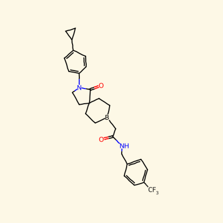 O=C(CB1CCC2(CC1)CCN(c1ccc(C3CC3)cc1)C2=O)NCc1ccc(C(F)(F)F)cc1